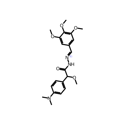 COc1cc(/C=N/NC(=O)C(OC)c2ccc(N(C)C)cc2)cc(OC)c1OC